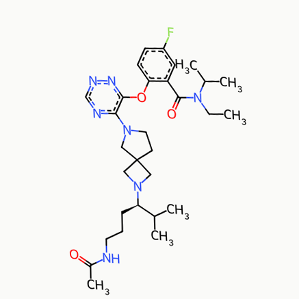 CCN(C(=O)c1cc(F)ccc1Oc1nncnc1N1CCC2(C1)CN([C@H](CCCNC(C)=O)C(C)C)C2)C(C)C